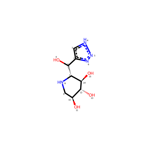 OC(c1c[nH]nn1)[C@H]1NC[C@H](O)[C@@H](O)[C@@H]1O